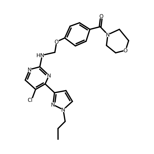 CCCn1ccc(-c2nc(NCOc3ccc(C(=O)N4CCOCC4)cc3)ncc2Cl)n1